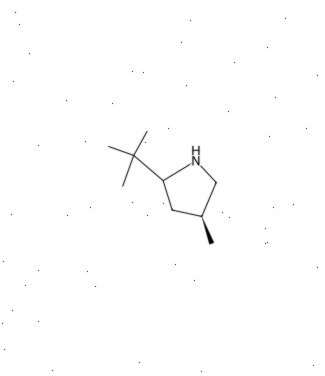 C[C@@H]1CNC(C(C)(C)C)C1